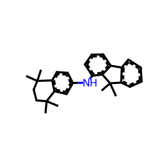 CC1(C)CCC(C)(C)c2cc(Nc3cccc4c3C(C)(C)c3ccccc3-4)ccc21